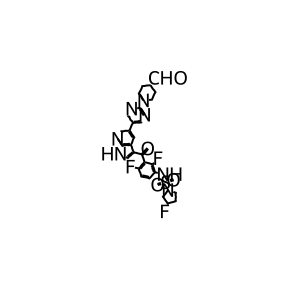 O=CC1CCN(c2ncc(-c3cnc4[nH]cc(C(=O)c5c(F)ccc(NS(=O)(=O)N6CC[C@@H](F)C6)c5F)c4c3)cn2)CC1